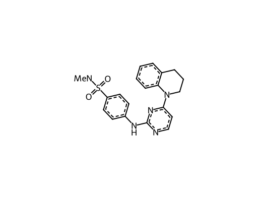 CNS(=O)(=O)c1ccc(Nc2nccc(N3CCCc4ccccc43)n2)cc1